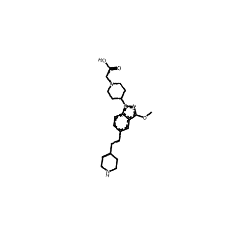 COc1nn(C2CCN(CC(=O)O)CC2)c2ccc(CCC3CCNCC3)cc12